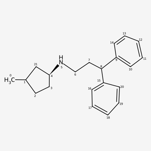 CC1CC[C@H](NCCC(c2ccccc2)c2ccccc2)C1